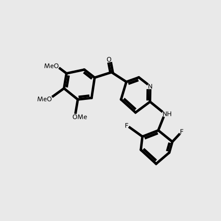 COc1cc(C(=O)c2ccc(Nc3c(F)cccc3F)nc2)cc(OC)c1OC